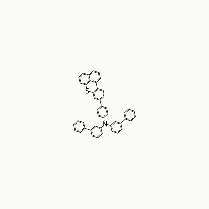 c1ccc(-c2cccc(N(c3ccc(-c4ccc5c(c4)Sc4cccc6cccc-5c46)cc3)c3cccc(-c4ccccc4)c3)c2)cc1